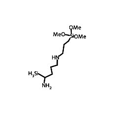 CO[Si](CCCNCCCC(N)[SiH3])(OC)OC